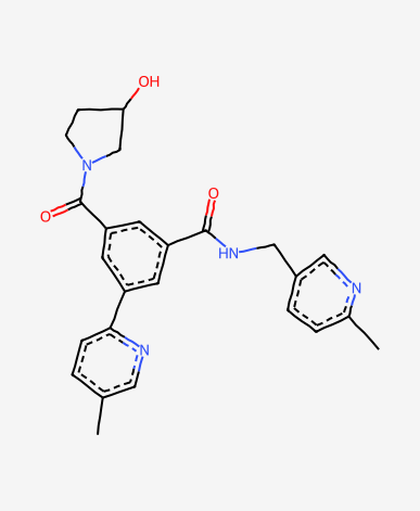 Cc1ccc(-c2cc(C(=O)NCc3ccc(C)nc3)cc(C(=O)N3CCC(O)C3)c2)nc1